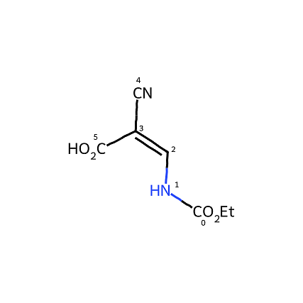 CCOC(=O)NC=C(C#N)C(=O)O